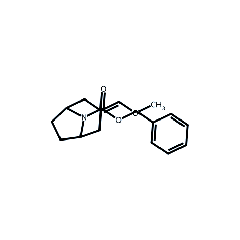 COC=C1CC2CCC(C1)N2C(=O)OCc1ccccc1